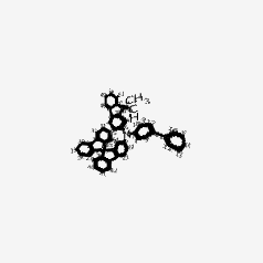 CC1(C)c2cc(N(c3ccc(-c4ccccc4)cc3)c3ccc4c(c3)C3(c5ccccc5-c5ccccc53)c3ccccc3-4)ccc2C2=CCCCC21